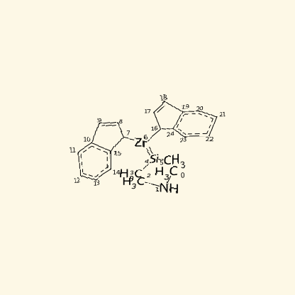 CNC.C[Si](C)=[Zr]([CH]1C=Cc2ccccc21)[CH]1C=Cc2ccccc21